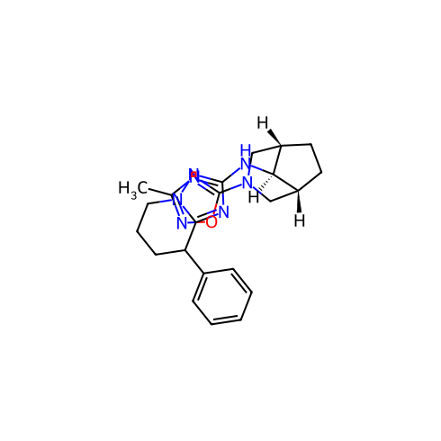 Cc1noc(N2C[C@H]3CC[C@@H](C2)[C@@H]3Nc2nc3n(n2)CCCC3c2ccccc2)n1